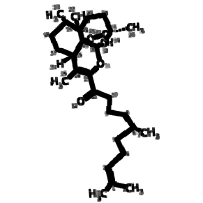 CC(C)=CCC[C@H](C)CCCC(=O)C1=C(C)[C@@H]2CC[C@@H](C)[C@]3(C)CC[C@]4(C)OO[C@@]23[C@H](O1)O4